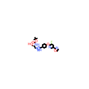 CC(C)(C)OC(=O)N[C@H](CO)Cn1nnc(-c2ccc(Oc3ncc(-c4ncco4)cc3F)cc2)n1